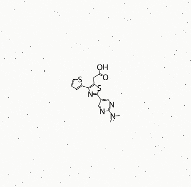 CN(C)c1ncc(-c2nc(-c3cccs3)c(CC(=O)O)s2)cn1